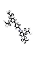 C=C(C)C(=O)Oc1ccc(/C=C/c2ccc(-c3ccc(OC(=O)C(=C)C)c(OC(=O)C(=C)C)c3)cc2)cc1OC(=O)C(=C)C